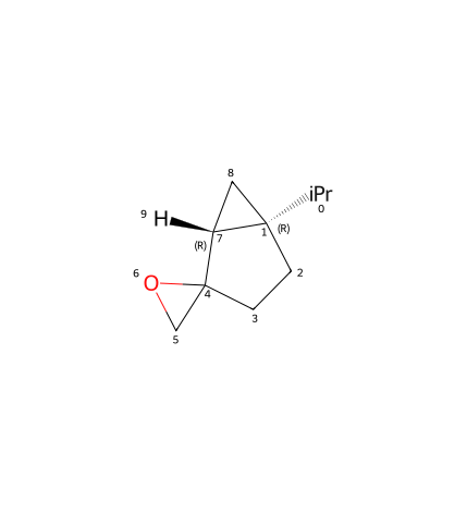 CC(C)[C@]12CCC3(CO3)[C@@H]1C2